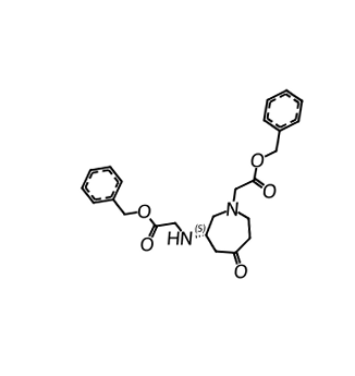 O=C1CCN(CC(=O)OCc2ccccc2)C[C@@H](NCC(=O)OCc2ccccc2)C1